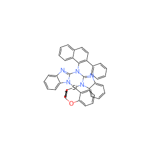 c1ccc(-c2ccc3ccccc3c2N2c3nc4ccccc4n3[Si]3(c4ccccc4Oc4ccccc43)n3c2nc2ccccc23)cc1